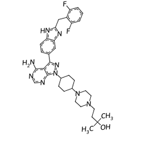 CC(C)(O)CCN1CCN(C2CCC(n3nc(-c4ccc5[nH]c(Cc6c(F)cccc6F)nc5c4)c4c(N)ncnc43)CC2)CC1